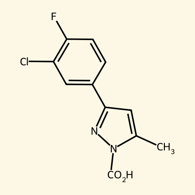 Cc1cc(-c2ccc(F)c(Cl)c2)nn1C(=O)O